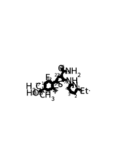 C[CH]c1cccc(Nc2sc(-c3c(F)cc(C(C)(C)O)cc3F)cc2C(N)=O)n1